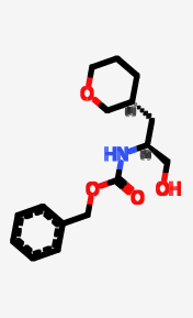 O=C(N[C@H](CO)C[C@H]1CCCOC1)OCc1ccccc1